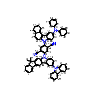 CC1(C)c2ccccc2-c2cc3c4cc(-n5c6ccccc6c6ccccc65)ccc4n(-c4cc(C#N)c(-n5c6ccc(N(c7ccccc7)c7ccccc7)cc6c6c7ccccc7ccc65)cc4C#N)c3cc21